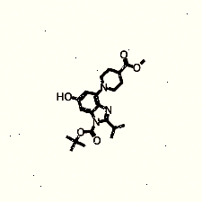 COC(=O)C1CCN(c2cc(O)cc3c2nc(C(C)C)n3C(=O)OC(C)(C)C)CC1